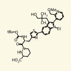 CCn1c(-c2cccnc2COC)c(CC(C)(C)CO)c2cc(-c3nc(C[C@H](NC(=O)OC(C)(C)C)C(=O)N4CCC[C@@H](C(=O)O)N4)cs3)ccc21